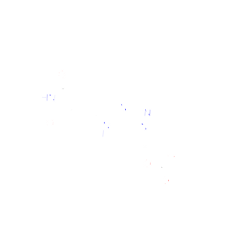 COC(=O)Oc1cn2ncnc(Nc3ccc4c(c3)C(=O)NC4=O)c2c1C